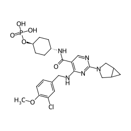 COc1ccc(CNc2nc(N3CC4CC4C3)ncc2C(=O)N[C@H]2CC[C@H](OP(=O)(O)O)CC2)cc1Cl